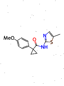 COc1ccc(C2(C(=O)Nc3ncc(C)s3)CC2)cc1